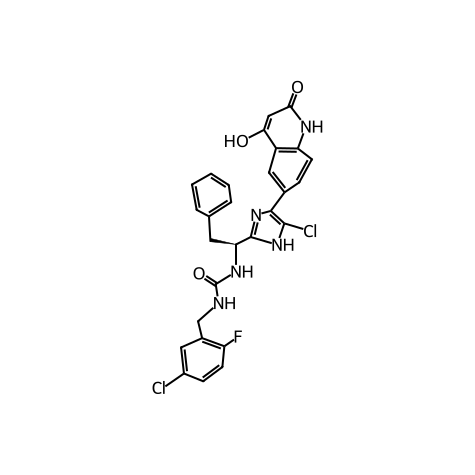 O=C(NCc1cc(Cl)ccc1F)N[C@@H](Cc1ccccc1)c1nc(-c2ccc3[nH]c(=O)cc(O)c3c2)c(Cl)[nH]1